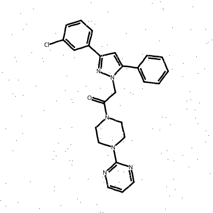 O=C(Cn1nc(-c2cccc(Cl)c2)cc1-c1ccccc1)N1CCN(c2ncccn2)CC1